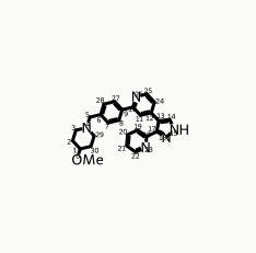 COC1CCN(Cc2ccc(-c3cc(-c4c[nH]nc4-c4ccccn4)ccn3)cc2)CC1